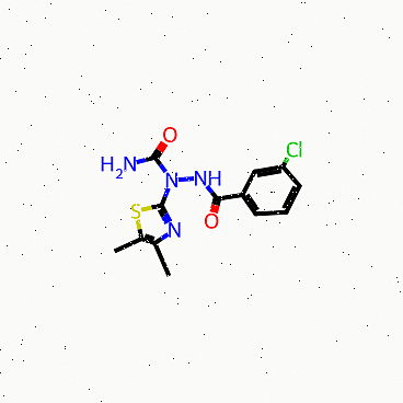 Cc1nc(N(NC(=O)c2cccc(Cl)c2)C(N)=O)sc1C